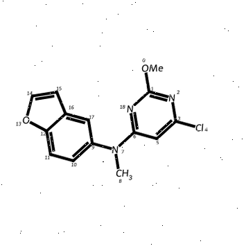 COc1nc(Cl)cc(N(C)c2ccc3occc3c2)n1